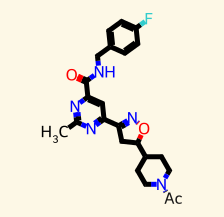 CC(=O)N1CCC(C2CC(c3cc(C(=O)NCc4ccc(F)cc4)nc(C)n3)=NO2)CC1